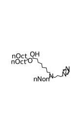 CCCCCCCCCN(CCCCCCCC(O)OC(CCCCCCCC)CCCCCCCC)CCCn1ccnc1